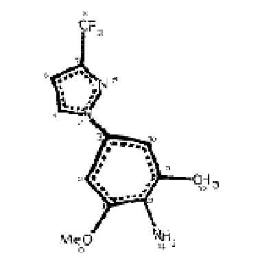 COc1cc(-n2ccc(C(F)(F)F)n2)cc(C)c1N